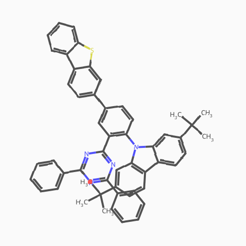 CC(C)(C)c1ccc2c3ccc(C(C)(C)C)cc3n(-c3ccc(-c4ccc5c(c4)sc4ccccc45)cc3-c3nc(-c4ccccc4)nc(-c4ccccc4)n3)c2c1